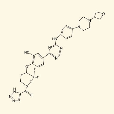 N#Cc1cc(-c2ncnc(Nc3ccc(N4CCN(C5COC5)CC4)cc3)n2)ccc1OC1CCN(C(=O)c2cnn[nH]2)CC1(F)F